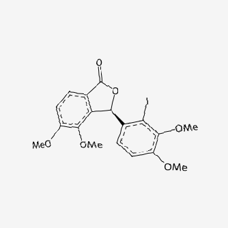 COc1ccc([C@@H]2OC(=O)c3ccc(OC)c(OC)c32)c(I)c1OC